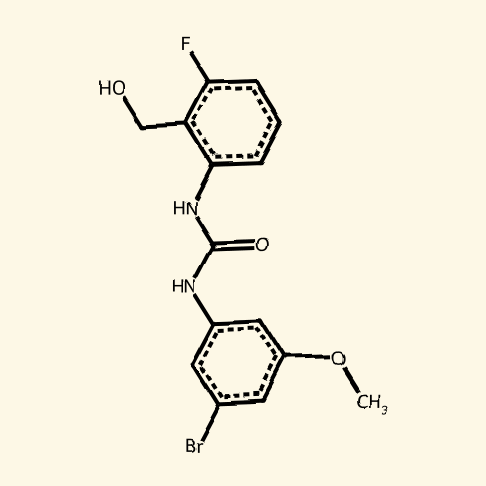 COc1cc(Br)cc(NC(=O)Nc2cccc(F)c2CO)c1